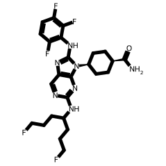 NC(=O)[C@H]1CC[C@@H](n2c(Nc3c(F)ccc(F)c3F)nc3cnc(NC(CCCF)CCCF)nc32)CC1